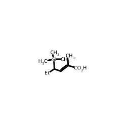 CCC(C=C(C)C(=O)O)[Si](C)(C)C